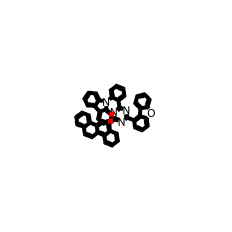 c1ccc(-n2c3ccccc3c3ccccc32)c(-c2nc(-c3cc4c5ccccc5ccc4c4ccccc34)nc(-c3cccc4oc5ccccc5c34)n2)c1